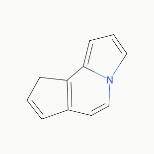 C1=Cc2ccn3cccc3c2C1